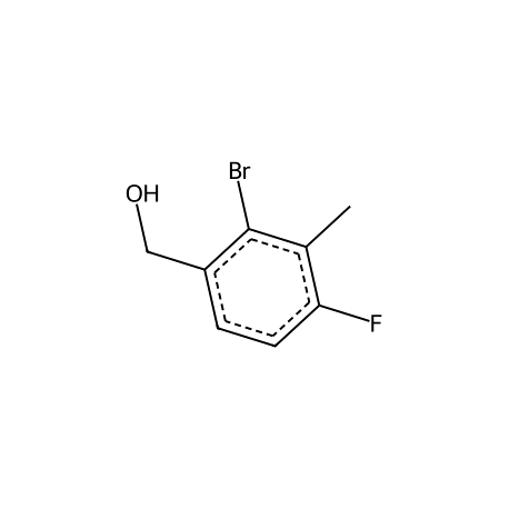 Cc1c(F)ccc(CO)c1Br